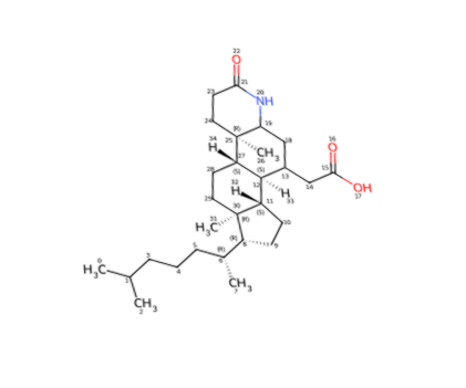 CC(C)CCC[C@@H](C)[C@H]1CC[C@H]2[C@@H]3C(CC(=O)O)CC4NC(=O)CC[C@]4(C)[C@H]3CC[C@]12C